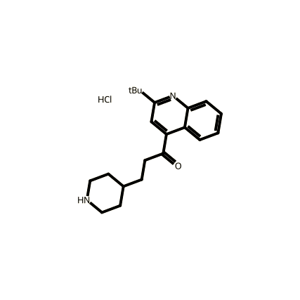 CC(C)(C)c1cc(C(=O)CCC2CCNCC2)c2ccccc2n1.Cl